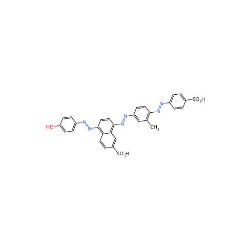 Cc1cc(N=Nc2ccc(N=Nc3ccc(O)cc3)c3ccc(S(=O)(=O)O)cc23)ccc1N=Nc1ccc(S(=O)(=O)O)cc1